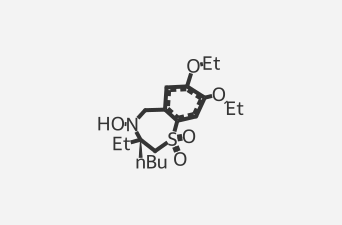 CCCC[C@]1(CC)CS(=O)(=O)c2cc(OCC)c(OCC)cc2CN1O